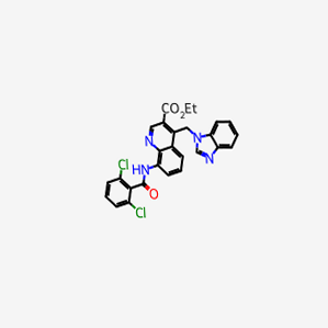 CCOC(=O)c1cnc2c(NC(=O)c3c(Cl)cccc3Cl)cccc2c1Cn1cnc2ccccc21